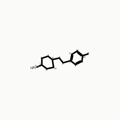 CCCC1CCC(CCc2ccc(C)cc2)CC1